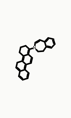 [c]1ccc2c(c1)C=CN(C1=c3ccc4c(c3CCC1)CC=c1ccccc1=4)CC2